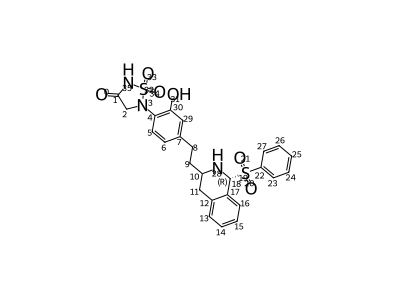 O=C1CN(c2ccc(CCC3Cc4ccccc4[C@@H](S(=O)(=O)c4ccccc4)N3)cc2O)S(=O)(=O)N1